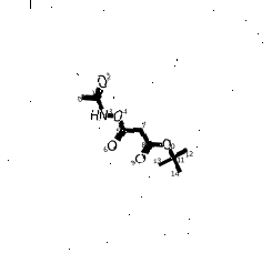 CC(=O)NOC(=O)CC(=O)OC(C)(C)C